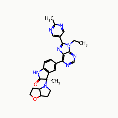 CCn1c(-c2cnc(C)nc2)nc2c(-c3ccc4c(c3)[C@@](C)(N3CCC5OCCC53)C(=O)N4)ncnc21